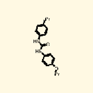 CC(C)Oc1ccc(NC(=O)Nc2ccc(C(C)C)cc2)cc1